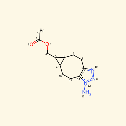 CC(C)C(=O)OCC1C2CCc3nnn(N)c3CCC21